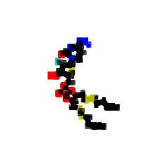 CC(=O)OCCSSCCOP(=O)(OCCSSCCOC(C)=O)OC[C@H]1S[C@@H](n2ccc(N)nc2=O)[C@@H](F)[C@@H]1O